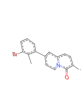 [CH2]c1ccc2cc(-c3cccc(Br)c3C)ccn2c1=O